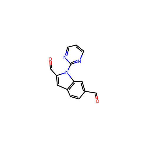 O=Cc1ccc2cc(C=O)n(-c3ncccn3)c2c1